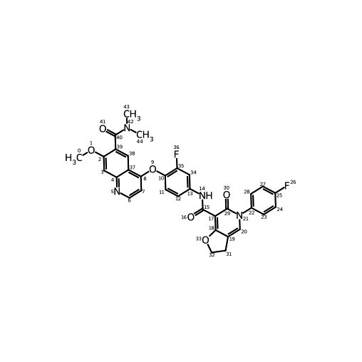 COc1cc2nccc(Oc3ccc(NC(=O)c4c5c(cn(-c6ccc(F)cc6)c4=O)CCO5)cc3F)c2cc1C(=O)N(C)C